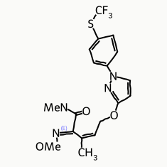 CNC(=O)/C(=N/OC)C(C)=CCOc1ccn(-c2ccc(SC(F)(F)F)cc2)n1